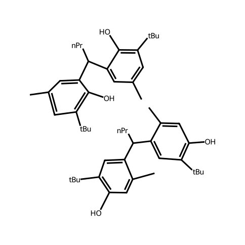 CCCC(c1cc(C(C)(C)C)c(O)cc1C)c1cc(C(C)(C)C)c(O)cc1C.CCCC(c1cc(C)cc(C(C)(C)C)c1O)c1cc(C)cc(C(C)(C)C)c1O